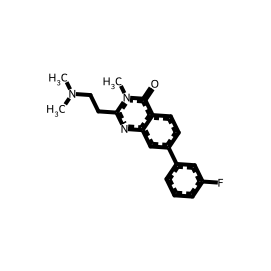 CN(C)CCc1nc2cc(-c3cccc(F)c3)ccc2c(=O)n1C